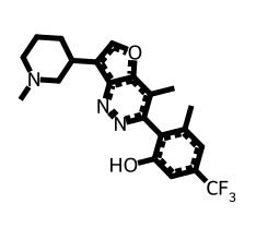 Cc1cc(C(F)(F)F)cc(O)c1-c1nnc2c(C3CCCN(C)C3)coc2c1C